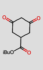 CC(C)COC(=O)C1CC(=O)CC(=O)C1